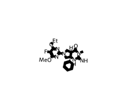 CCOc1nc(N2C[C@H]3C(=O)N(C)C(=N)N[C@@]3(c3ccccc3)C2)nc(OC)c1F